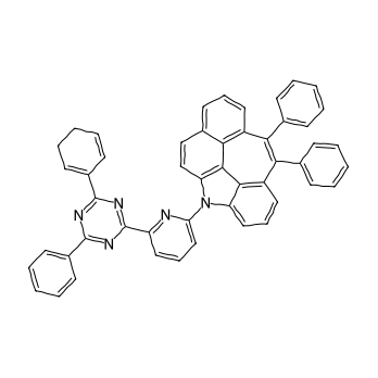 C1=CC(c2nc(-c3ccccc3)nc(-c3cccc(-n4c5cccc6c5c5c7c(cccc7ccc54)C(c4ccccc4)=C6c4ccccc4)n3)n2)=CCC1